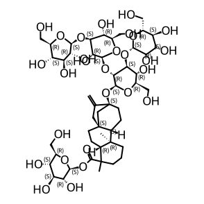 C=C1C[C@]23CC[C@H]4C(C)(C(=O)O[C@@H]5O[C@H](CO)[C@@H](O)[C@H](O)[C@H]5O)CCC[C@]4(C)[C@H]2CC[C@]1(O[C@@H]1O[C@H](CO)[C@@H](O)[C@H](O[C@@H]2O[C@H](CO)[C@@H](O)[C@H](O)[C@H]2O)[C@H]1O[C@@H]1O[C@H](CO)[C@@H](O)[C@H](O[C@@H]2O[C@H](CO)[C@@H](O)[C@H](O)[C@H]2O)[C@H]1O)C3